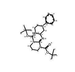 CC(C)(C)OC(=O)N1CCCN(C(=O)OC(C)(C)C)C1=NC1CN(c2ccccc2)CCN1